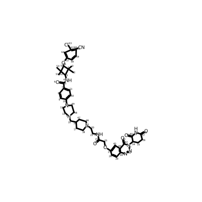 CC1(C)C(NC(=O)c2ccc(N3CCN(CC4CCN(CCNC(=O)COc5ccc6nnn(C7CCC(=O)NC7=O)c(=O)c6c5)CC4)CC3)cc2)C(C)(C)C1Oc1ccc(C#N)c(Cl)c1